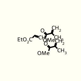 C=C(C)C(=O)OC.C=C(C)C(=O)OC.C=CC(=O)OCC